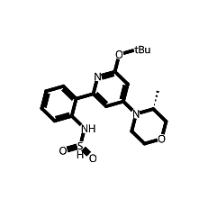 C[C@@H]1COCCN1c1cc(OC(C)(C)C)nc(-c2ccccc2N[SH](=O)=O)c1